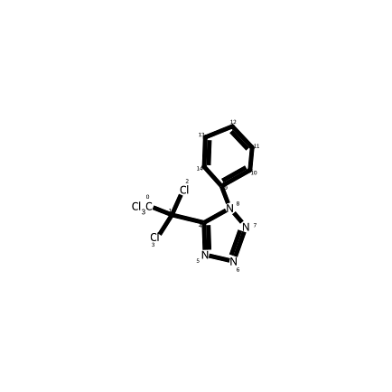 ClC(Cl)(Cl)C(Cl)(Cl)c1nnnn1-c1ccccc1